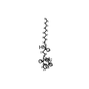 CCCCCCCCCCCCNC(=O)CCCNC(=O)[C@@H]1CCCN1S(C)(=O)=O